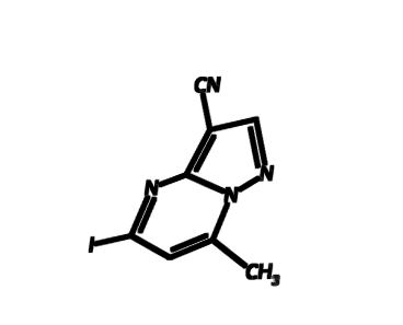 Cc1cc(I)nc2c(C#N)cnn12